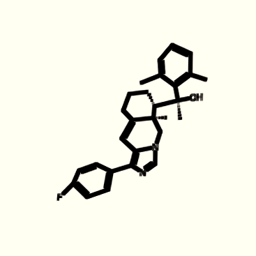 Cc1cccc(C)c1[C@@](C)(O)[C@H]1CCCC2=Cc3c(-c4ccc(F)cc4)ncn3C[C@@]21C